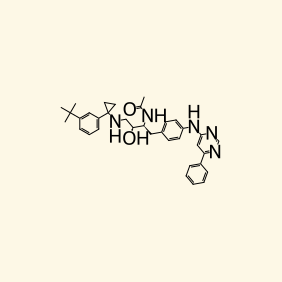 CC(=O)N[C@@H](Cc1ccc(Nc2cc(-c3ccccc3)ncn2)cc1)[C@@H](O)CNC1(c2cccc(C(C)(C)C)c2)CC1